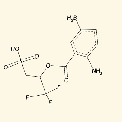 Bc1ccc(N)c(C(=O)OC(CS(=O)(=O)O)C(F)(F)F)c1